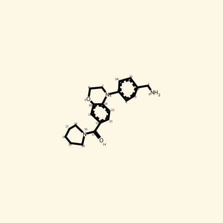 NCc1ccc(N2CCOc3cc(C(=O)N4CCCCC4)ccc32)cc1